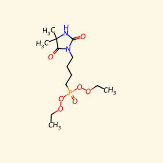 CCOOP(=O)(CCCCN1C(=O)NC(C)(C)C1=O)OOCC